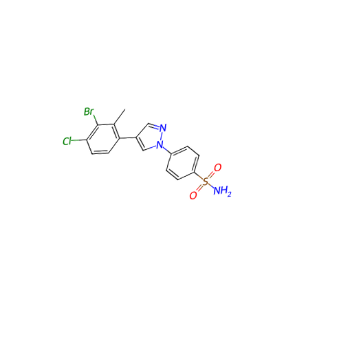 Cc1c(-c2cnn(-c3ccc(S(N)(=O)=O)cc3)c2)ccc(Cl)c1Br